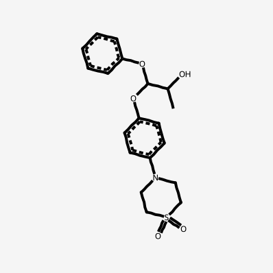 CC(O)C(Oc1ccccc1)Oc1ccc(N2CCS(=O)(=O)CC2)cc1